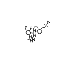 Cc1nnc2nc(N3CCCc4c(CCC(C)(C)C5CC5)cccc43)c3c(F)c(F)ccc3n12